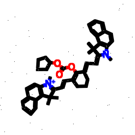 CN1/C(=C/C=C2\CCCC(/C=C/C3=[N+](C)c4ccc5ccccc5c4C3(C)C)=C2OC(=O)OC2CCCC2)C(C)(C)c2c1ccc1ccccc21